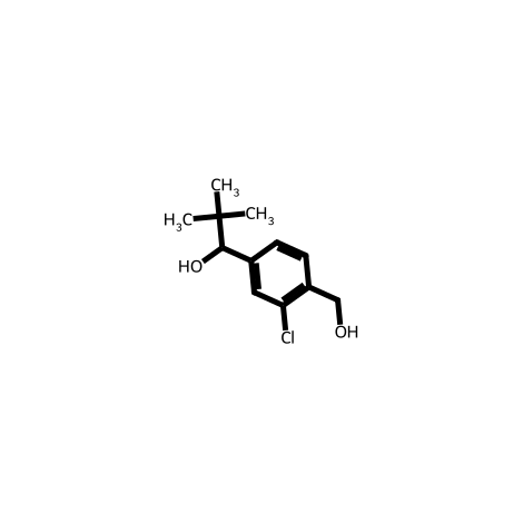 CC(C)(C)C(O)c1ccc(CO)c(Cl)c1